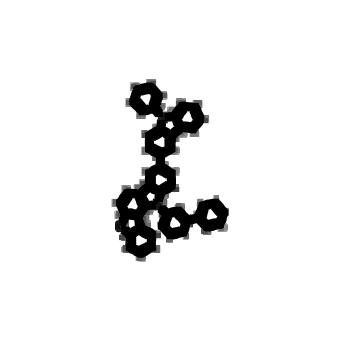 c1ccc(-c2cccc(-n3c4ccc(-c5ccc6c(c5)c5ccccc5n6-c5ccccc5)cc4c4ccc5oc6ccccc6c5c43)c2)cc1